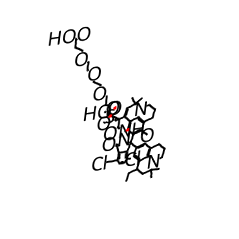 CCC1CC(C)(C)N2CCCc3c4c(cc1c32)C1(c2cc3c5c(c2O4)CCCN5C(C)(C)C=C3CS(=O)(=O)O)c2c(Cl)ccc(Cl)c2C(=O)N1NC(=O)CCOCCOCCOCCOCCC(=O)O